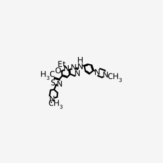 CCn1c(=O)c(-c2nc(C3CCN(C)CC3)sc2C)cc2cnc(Nc3ccc(N4CCN(C)CC4)cc3)nc21